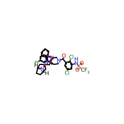 Cc1nc2ccccc2n1C1C[C@H]2CC[C@@H](C1)N2CCC1(c2cccc(F)c2)CCN(C(=O)c2cc(Cl)cc(NS(=O)(=O)C(F)(F)F)c2Cl)CC1